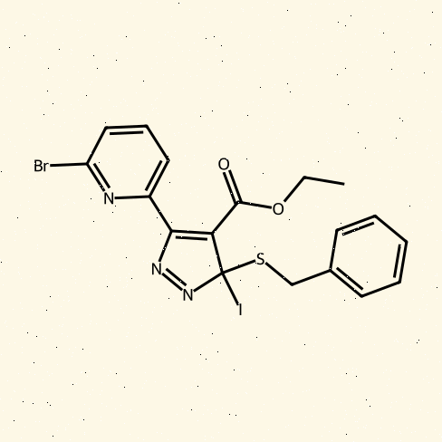 CCOC(=O)C1=C(c2cccc(Br)n2)N=NC1(I)SCc1ccccc1